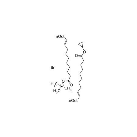 CCCCCCCCC=CCCCCCCCC(=O)OC1CC1.CCCCCCCCC=CCCCCCCCC(=O)O[N+](C)(C)C.[Br-]